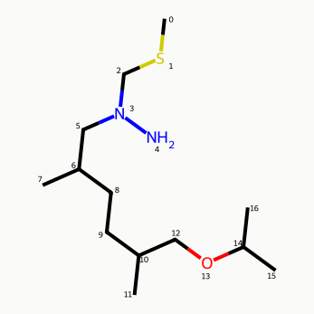 CSCN(N)CC(C)CCC(C)COC(C)C